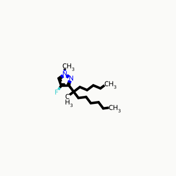 CCCCCCC(C)(CCCCC)c1nn(C)cc1F